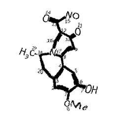 COc1cc2c(cc1O)-c1cc(=O)c(C(=O)N=O)cn1[C@@H](C)C2